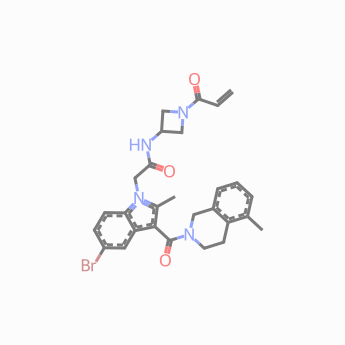 C=CC(=O)N1CC(NC(=O)Cn2c(C)c(C(=O)N3CCc4c(C)cccc4C3)c3cc(Br)ccc32)C1